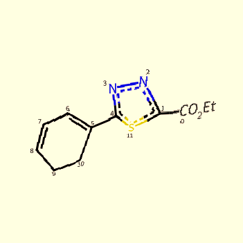 CCOC(=O)c1nnc(C2=CC=CCC2)s1